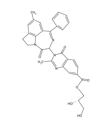 Cc1cc2c3c(c1)C(c1ccccc1)=NC(n1c(C)nc4cc(C(=O)OC[C@@H](O)CO)ccc4c1=O)C(=O)N3CC2